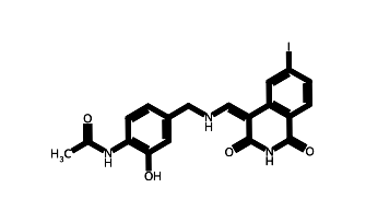 CC(=O)Nc1ccc(CNC=C2C(=O)NC(=O)c3ccc(I)cc32)cc1O